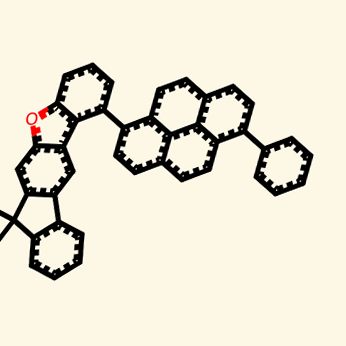 CC1(C)c2ccccc2-c2cc3c(cc21)oc1cccc(-c2ccc4ccc5c(-c6ccccc6)ccc6ccc2c4c65)c13